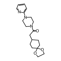 O=C(CC1CCC2(CC1)OCCO2)N1CCN(c2ccccn2)CC1